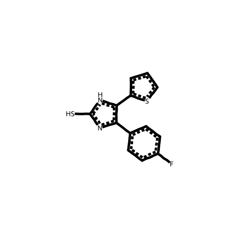 Fc1ccc(-c2nc(S)[nH]c2-c2cccs2)cc1